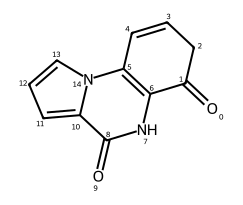 O=C1CC=Cc2c1[nH]c(=O)c1cccn21